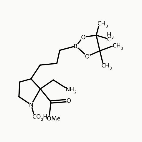 COC(=O)C1(CN)C(CCCB2OC(C)(C)C(C)(C)O2)CCN1C(=O)O